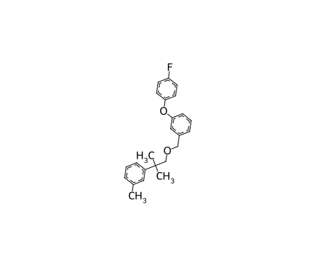 Cc1cccc(C(C)(C)COCc2cccc(Oc3ccc(F)cc3)c2)c1